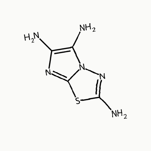 Nc1nn2c(N)c(N)nc2s1